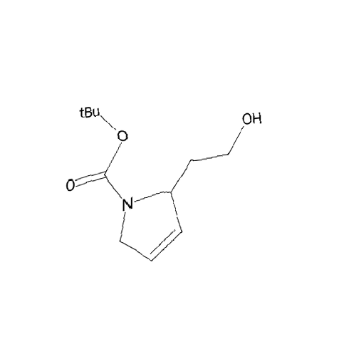 CC(C)(C)OC(=O)N1CC=CC1CCO